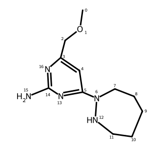 COCc1cc(N2CCCCCN2)nc(N)n1